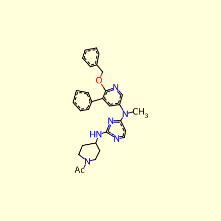 CC(=O)N1CCC(Nc2nccc(N(C)c3cnc(OCc4ccccc4)c(-c4ccccc4)c3)n2)CC1